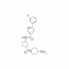 NC1CCN(C(=O)[C@H]2CC[C@@H](NC(=O)c3ccc(-c4cccc(F)c4)nc3)C2)CC1